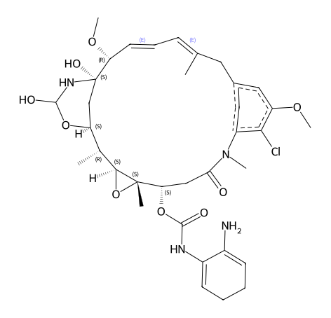 COc1cc2cc(c1Cl)N(C)C(=O)C[C@H](OC(=O)NC1=CCCC=C1N)[C@]1(C)O[C@H]1[C@H](C)[C@@H]1C[C@@](O)(NC(O)O1)[C@H](OC)/C=C/C=C(\C)C2